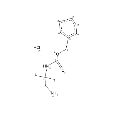 CC(C)(CN)NC(=O)OCc1ccccc1.Cl